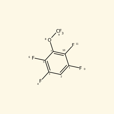 Fc1cc(F)c(F)c(OC(F)(F)F)c1F